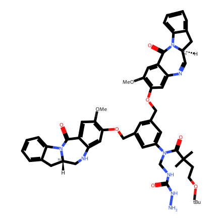 COc1cc2c(cc1OCc1cc(COc3cc4c(cc3OC)C(=O)N3c5ccccc5C[C@H]3CN4)cc(N(CNC(=O)NN)C(=O)C(C)(C)CCOC(C)(C)C)c1)N=C[C@@H]1Cc3ccccc3N1C2=O